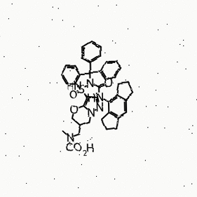 CN(CC1COc2c(S(=N)(=O)N(C(=O)Nc3c4c(cc5c3CCC5)CCC4)C(c3ccccc3)(c3ccccc3)c3ccccc3)cnn2C1)C(=O)O